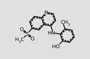 Cc1cccc(O)c1Nc1ccnc2ccc(S(C)(=O)=O)cc12